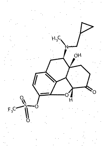 CN(CC1CC1)[C@@H]1Cc2ccc(OS(=O)(=O)C(F)(F)F)c3c2C2[C@@H](O3)C(=O)CC[C@]21O